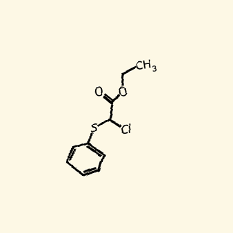 CCOC(=O)C(Cl)Sc1ccccc1